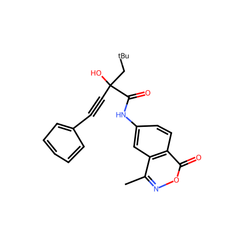 Cc1noc(=O)c2ccc(NC(=O)C(O)(C#Cc3ccccc3)CC(C)(C)C)cc12